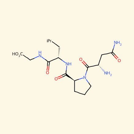 CC(C)C[C@H](NC(=O)[C@@H]1CCCN1C(=O)[C@@H](N)CC(N)=O)C(=O)NCC(=O)O